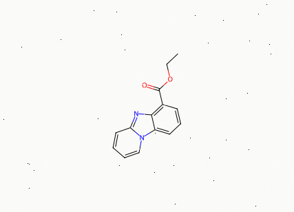 CCOC(=O)c1cccc2c1nc1ccccn12